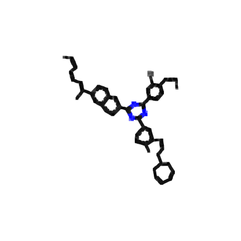 C\C=C/C=C\C=C(/C)c1ccc2cc(-c3nc(-c4ccc(C)c(/C=C\CC5=CC=CC=CC5)c4)nc(-c4ccc(/C=C\C)c(CC)c4)n3)ccc2c1